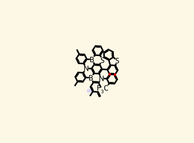 C=C/C(C)=C\C1=C(C)N(c2ccccc2C(F)(F)F)c2c3c4c5c(c2-c2cccc6sc7ccccc7c26)Sc2ccccc2B5c2cc(C)ccc2N4c2ccc(C)cc2B13